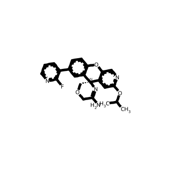 CC(C)Oc1cc2c(cn1)Oc1ccc(-c3cccnc3F)cc1[C@@]21COCC(N)=N1